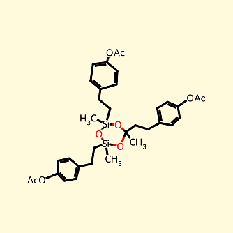 CC(=O)Oc1ccc(CCC2(C)O[Si](C)(CCc3ccc(OC(C)=O)cc3)O[Si](C)(CCc3ccc(OC(C)=O)cc3)O2)cc1